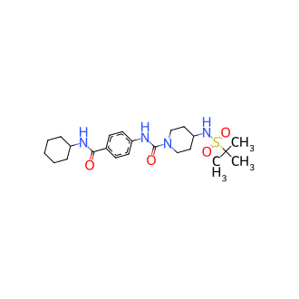 CC(C)(C)S(=O)(=O)NC1CCN(C(=O)Nc2ccc(C(=O)NC3CCCCC3)cc2)CC1